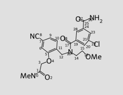 CNC(=O)COc1cc(C#N)ccc1CN(CCOC)C(=O)c1cc(Cl)cc(C(N)=O)c1